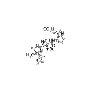 CCCCc1c(C(=O)Nc2cccc3ncn(CC(=O)O)c23)cnn1-c1ncc(C)c(-c2cccs2)n1